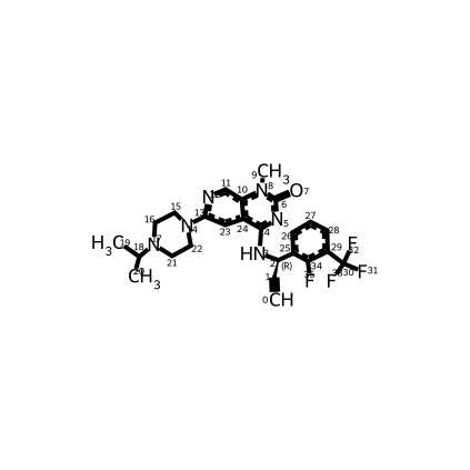 C#C[C@@H](Nc1nc(=O)n(C)c2cnc(N3CCN(C(C)C)CC3)cc12)c1cccc(C(F)(F)F)c1F